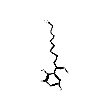 CCCCCCCCC/C(=N/O)c1cc(Cl)cc(Cl)c1O